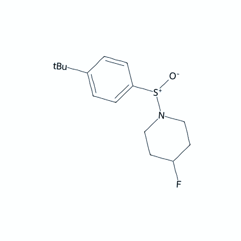 CC(C)(C)c1ccc([S+]([O-])N2CCC(F)CC2)cc1